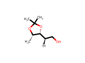 CC[C@H](CO)[C@H]1OC(C)(C)O[C@H]1C